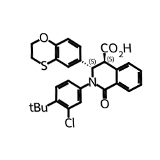 CC(C)(C)c1ccc(N2C(=O)c3ccccc3[C@H](C(=O)O)[C@H]2c2ccc3c(c2)SCCO3)cc1Cl